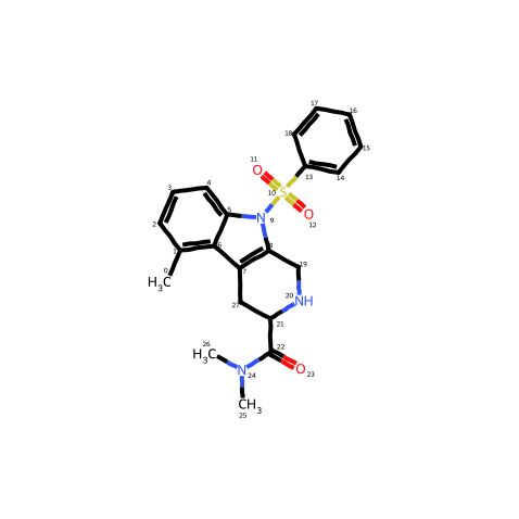 Cc1cccc2c1c1c(n2S(=O)(=O)c2ccccc2)CNC(C(=O)N(C)C)C1